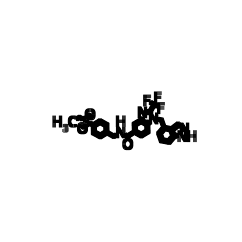 CCS(=O)(=O)c1ccc(CNC(=O)c2ccc3c(c2)nc(C(F)(F)F)n3Cc2cccc3[nH]ncc23)cc1